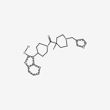 CCOc1nc2cccnc2n1C1CCN(C(=O)C2(F)CCN(Cc3ccoc3)CC2)CC1